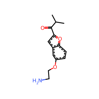 CC(C)C(=O)c1cc2cc(OCCN)ccc2o1